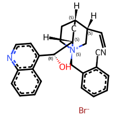 C=C[C@@H]1C[N@+]2(Cc3ccccc3C#N)CC[C@H]1C[C@H]2[C@H](O)c1ccnc2ccccc12.[Br-]